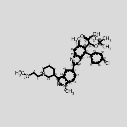 COCCN1CCCC(c2nn(C)c3ccc(-c4nc5cc(C)c(C(OC(C)(C)C)C(=O)O)c(-c6ccc(Cl)cc6)c5s4)cc23)C1